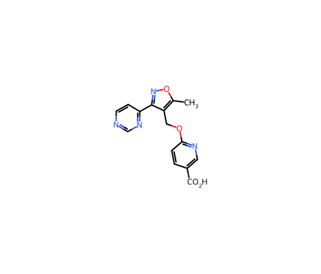 Cc1onc(-c2ccncn2)c1COc1ccc(C(=O)O)cn1